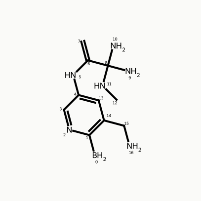 Bc1ncc(NC(=C)C(N)(N)NC)cc1CN